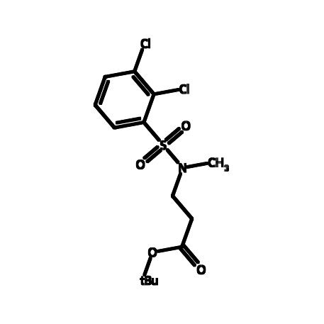 CN(CCC(=O)OC(C)(C)C)S(=O)(=O)c1cccc(Cl)c1Cl